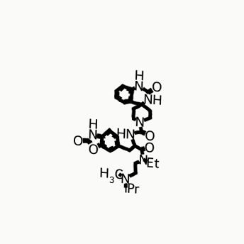 CCN(CCN(C)C(C)C)C(=O)C(Cc1ccc2[nH]c(=O)oc2c1)NC(=O)N1CCC2(CC1)NC(=O)Nc1ccccc12